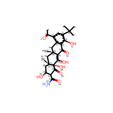 CC(=O)c1cc(C(C)(C)C)c(O)c2c1C[C@H]1C[C@H]3CC(O)C(C(N)=O)C(=O)[C@@]3(O)C(O)=C1C2=O